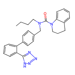 CCCCN(Cc1ccc(-c2ccccc2-c2nnn[nH]2)cc1)C(=O)N1CCCc2ccccc21